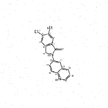 C=C1c2cc(CC)c(CC)cc2CN1c1ccc2ncccc2c1